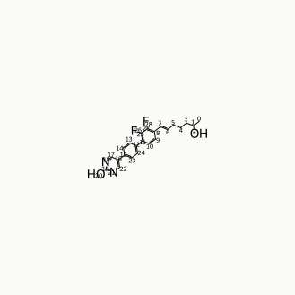 CC(O)CCCC=Cc1ccc(-c2ccc(-c3cnc(O)nc3)cc2)c(F)c1F